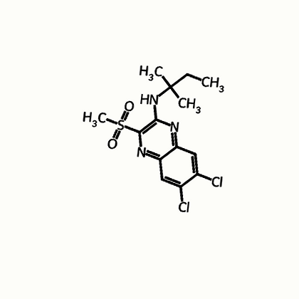 CCC(C)(C)Nc1nc2cc(Cl)c(Cl)cc2nc1S(C)(=O)=O